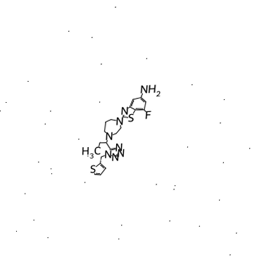 CCC(c1nnnn1Cc1cccs1)N1CCCN(c2nc3cc(N)cc(F)c3s2)CC1